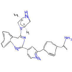 CC(N)c1ccc(-c2cc(-c3nc(N4C[C@@H]5C[C@H]4CN5)c4ccccc4n3)ccn2)cc1